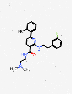 CN(C)CCNC(=O)c1ccc(-c2ccccc2C#N)nc1NCCc1cccc(F)c1